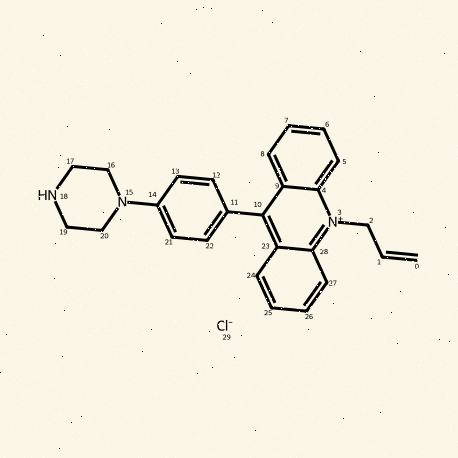 C=CC[n+]1c2ccccc2c(-c2ccc(N3CCNCC3)cc2)c2ccccc21.[Cl-]